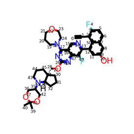 C#Cc1c(F)ccc2cc(O)cc(-c3ncc4c(N5CCCOCC5)nc(OC[C@]56CCC[C@H]5N(C5COC(C)(C)OC5)CCC6)nc4c3F)c12